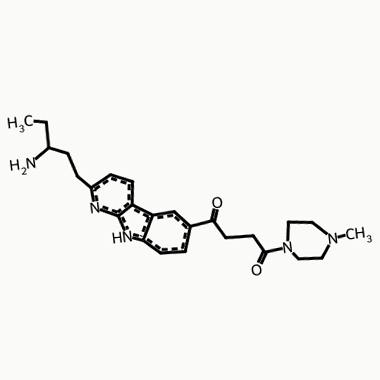 CCC(N)CCc1ccc2c(n1)[nH]c1ccc(C(=O)CCC(=O)N3CCN(C)CC3)cc12